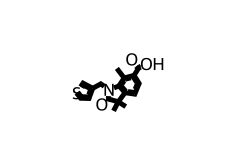 Cc1c(C(=O)O)ccc2c1N(Cc1ccsc1)C(=O)C2(C)C